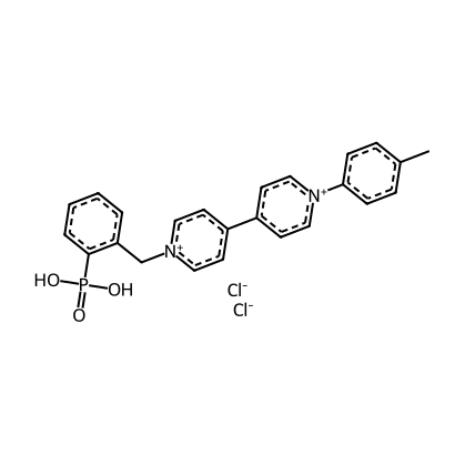 Cc1ccc(-[n+]2ccc(-c3cc[n+](Cc4ccccc4P(=O)(O)O)cc3)cc2)cc1.[Cl-].[Cl-]